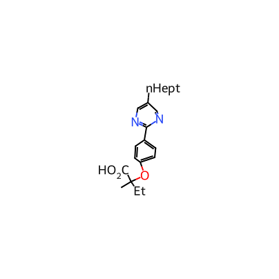 CCCCCCCc1cnc(-c2ccc(OC(C)(CC)C(=O)O)cc2)nc1